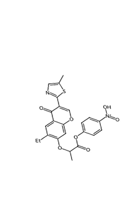 CCc1cc2c(=O)c(-c3ncc(C)s3)coc2cc1OC(C)C(=O)Oc1ccc([N+](=O)O)cc1